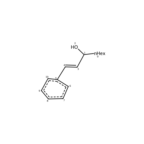 CCCCCCC(O)C=Cc1ccccc1